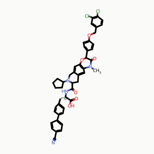 CN1C(=O)C(c2ccc(OCc3ccc(Cl)c(Cl)c3)cc2)Oc2cc3c(cc21)CC(C(=O)N[C@@H](Cc1ccc(-c2ccc(C#N)cc2)cc1)C(=O)O)N(C1CCCC1)C3